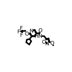 COc1cc(CNC(=O)c2cnc(OCC(F)(F)F)c(C3CCCC3)c2)on1